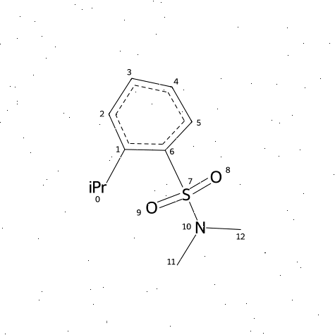 CC(C)c1ccccc1S(=O)(=O)N(C)C